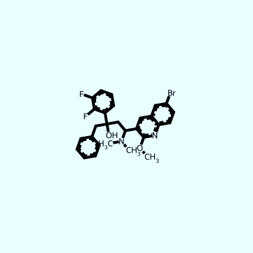 COc1nc2ccc(Br)cc2cc1C(CC(O)(Cc1ccccc1)c1cccc(F)c1F)N(C)C